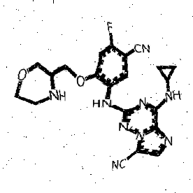 N#Cc1cc(Nc2nc(NC3CC3)c3ncc(C#N)n3n2)c(OCC2COCCN2)cc1F